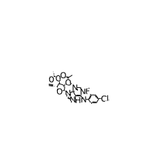 C#C[C@H]1O[C@@H](n2cnc3c(Nc4ccc(Cl)cc4F)ncnc32)[C@H](OC(C)=O)[C@@H]1OC(C)=O